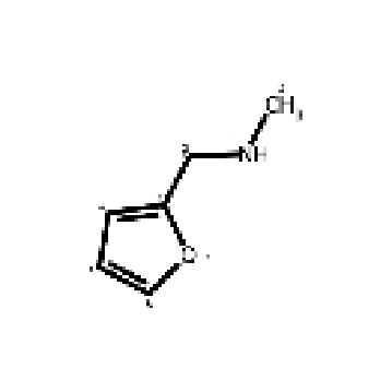 CN[C]c1ccco1